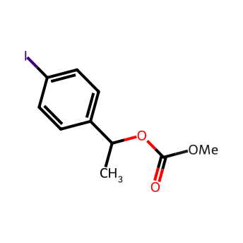 COC(=O)OC(C)c1ccc(I)cc1